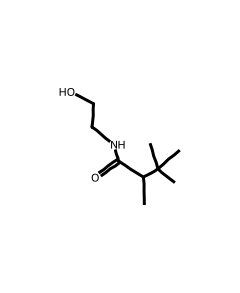 CC(C(=O)NCCO)C(C)(C)C